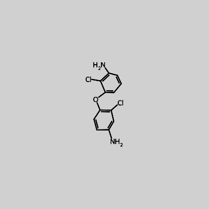 Nc1ccc(Oc2cccc(N)c2Cl)c(Cl)c1